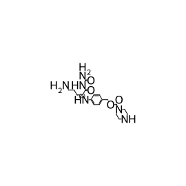 NCCC[C@H](Nc1ccc(COC(=O)N2CCNCC2)cc1)C(=O)NC(N)=O